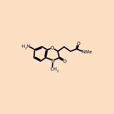 CNC(=O)CCC1Oc2cc(N)ccc2N(C)C1=O